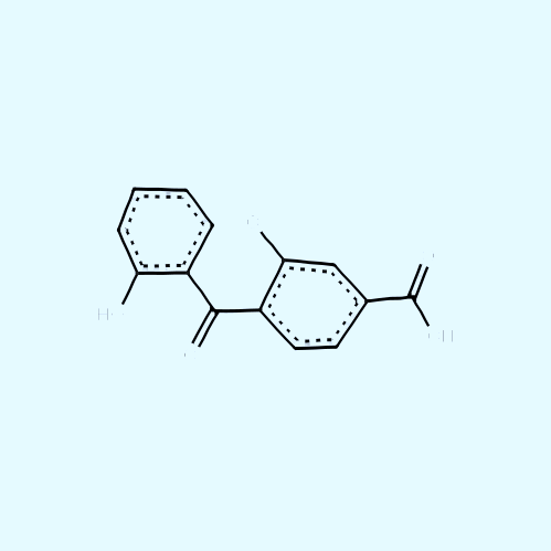 O=C(O)c1ccc(C(=O)c2ccccc2O)c(O)c1